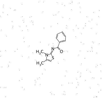 Cc1csc(=NC(=O)c2ccccc2)n1C